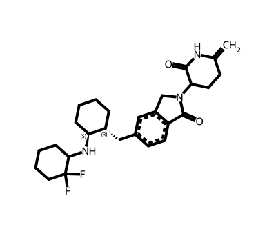 C=C1CCC(N2Cc3cc(C[C@H]4CCCC[C@@H]4NC4CCCCC4(F)F)ccc3C2=O)C(=O)N1